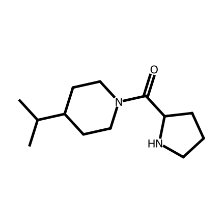 CC(C)C1CCN(C(=O)C2CCCN2)CC1